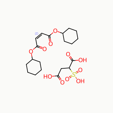 O=C(/C=C\C(=O)OC1CCCCC1)OC1CCCCC1.O=C(O)CC(C(=O)O)S(=O)(=O)O